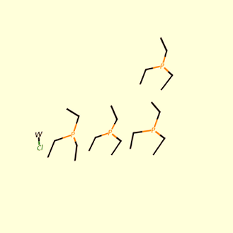 CCP(CC)CC.CCP(CC)CC.CCP(CC)CC.CCP(CC)CC.[Cl][W]